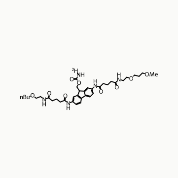 [2H]NC(=O)OCC1c2cc(NC(=O)CCCC(=O)NCCOCCCC)ccc2-c2ccc(NC(=O)CCCC(=O)NCCOCCCOC)cc21